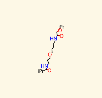 CC(C)OCC(=O)NCCCCCOCCCNC(=O)C(C)C